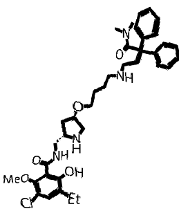 CCc1cc(Cl)c(OC)c(C(=O)NC[C@@H]2C[C@@H](OCCCCNCCC(C(=O)N(C)C)(c3ccccc3)c3ccccc3)CN2)c1O